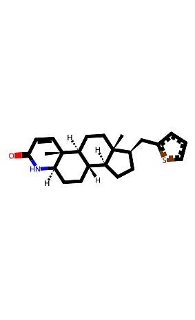 C[C@]12C=CC(=O)N[C@@H]1CC[C@@H]1[C@@H]2CC[C@]2(C)[C@@H](Cc3cccs3)CC[C@@H]12